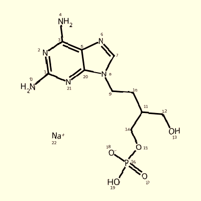 Nc1nc(N)c2ncn(CCC(CO)COP(=O)([O-])O)c2n1.[Na+]